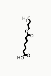 CCCCOC(=O)C=CCCCC(=O)O